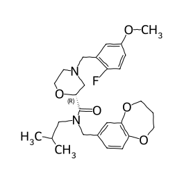 COc1ccc(F)c(CN2CCO[C@@H](C(=O)N(Cc3ccc4c(c3)OCCCO4)CC(C)C)C2)c1